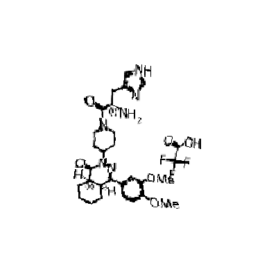 COc1ccc(C2=NN(C3CCN(C(=O)[C@H](N)Cc4c[nH]cn4)CC3)C(=O)[C@@H]3CCCC[C@H]23)cc1OC.O=C(O)C(F)(F)F